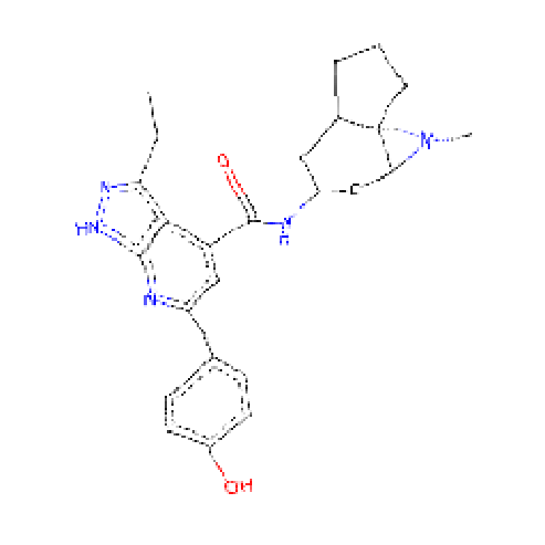 CCc1n[nH]c2nc(-c3ccc(O)cc3)cc(C(=O)NC3CC4CCCC45C(C3)N5C)c12